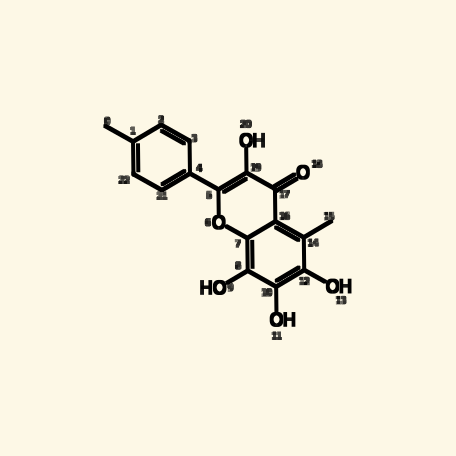 Cc1ccc(-c2oc3c(O)c(O)c(O)c(C)c3c(=O)c2O)cc1